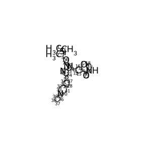 C[Si](C)(C)CCOCn1nc(-c2ccc3c(c2)OCCNC3=O)c2cc(-c3ccc4c(c3)CCN(C3CCCC3)CC4)cnc21